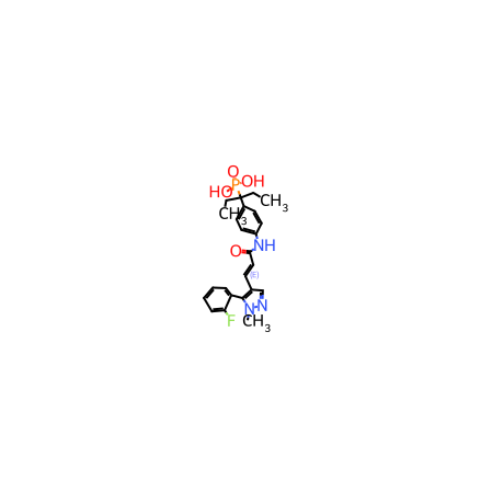 CCC(CC)(c1ccc(NC(=O)/C=C/c2cnn(C)c2-c2ccccc2F)cc1)P(=O)(O)O